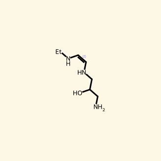 CCN/C=C\NCC(O)CN